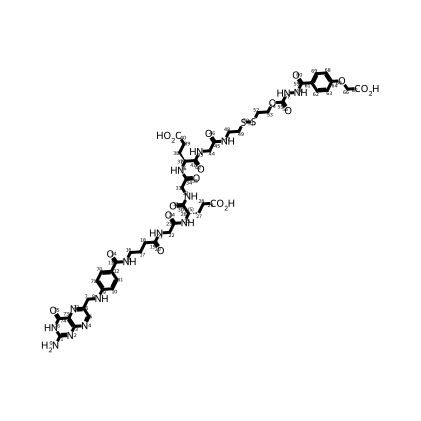 Nc1nc2ncc(CNc3ccc(C(=O)NCCCC(=O)NCC(=O)N[C@@H](CCC(=O)O)C(=O)NCC(=O)N[C@@H](CCC(=O)O)C(=O)NCC(=O)NCCSSCCOC(=O)NNC(=O)c4ccc(OCC(=O)O)cc4)cc3)nc2c(=O)[nH]1